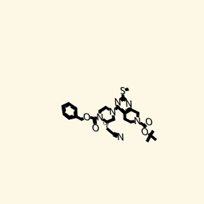 CSc1nc2c(c(N3CCN(C(=O)OCc4ccccc4)[C@@H](CC#N)C3)n1)CCN(C(=O)OC(C)(C)C)C2